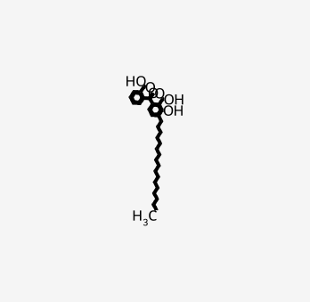 CCCCCCCCCCCCCCCCCCc1ccc(C(=O)c2ccccc2C(=O)O)c(C(=O)O)c1O